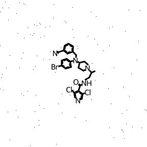 CC(CCNC(=O)c1c(Cl)cncc1Cl)N1CCC(N(Cc2cccc(C#N)c2)c2ccc(Br)cc2)CC1